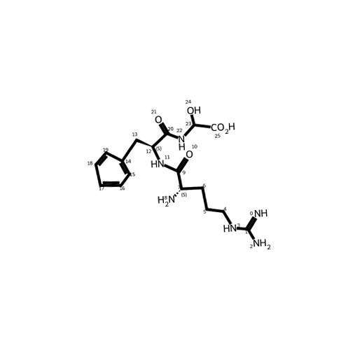 N=C(N)NCCC[C@H](N)C(=O)N[C@@H](Cc1ccccc1)C(=O)NC(O)C(=O)O